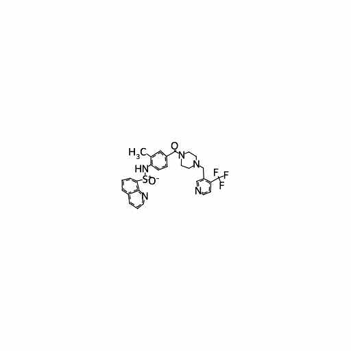 Cc1cc(C(=O)N2CCN(Cc3cnccc3C(F)(F)F)CC2)ccc1N[S+]([O-])c1cccc2cccnc12